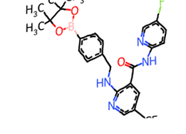 CC1(C)OB(c2ccc(CNc3ncc(C(F)(F)F)cc3C(=O)Nc3ccc(F)cn3)cc2)OC1(C)C